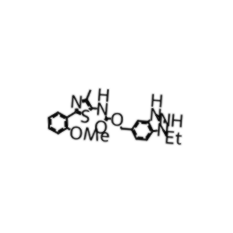 CCN1NNc2cc(COC(=O)Nc3sc(-c4ccccc4OC)nc3C)ccc21